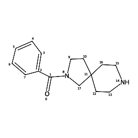 O=C(c1ccccc1)N1CCC2(CCNCC2)C1